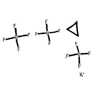 C1CC1.F[B-](F)(F)F.F[B-](F)(F)F.F[B-](F)(F)F.[K+]